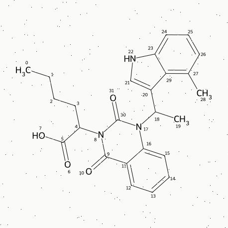 CCCCC(C(=O)O)n1c(=O)c2ccccc2n(C(C)c2c[nH]c3cccc(C)c23)c1=O